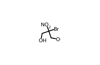 [O]CC(Br)(CO)[N+](=O)[O-]